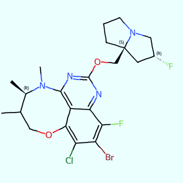 CC1COc2c(Cl)c(Br)c(F)c3nc(OC[C@@]45CCCN4C[C@H](F)C5)nc(c23)N(C)[C@@H]1C